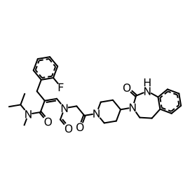 CC(C)N(C)C(=O)/C(=C\N(C=O)CC(=O)N1CCC(N2CCc3ccccc3NC2=O)CC1)Cc1ccccc1F